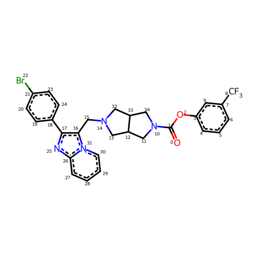 O=C(Oc1cccc(C(F)(F)F)c1)N1CC2CN(Cc3c(-c4ccc(Br)cc4)nc4ccccn34)CC2C1